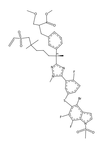 C=CS(=O)(=O)CC(C)(C)CCC[C@](C)(c1cccc(CC(COC)C(=O)OC)c1)c1nc(-c2cc(Sc3c(F)c(F)c4c(ccn4S(C)(=O)=O)c3Br)ccc2F)n(C)n1